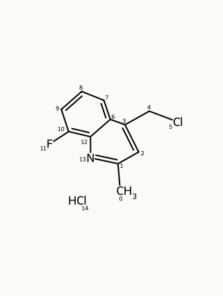 Cc1cc(CCl)c2cccc(F)c2n1.Cl